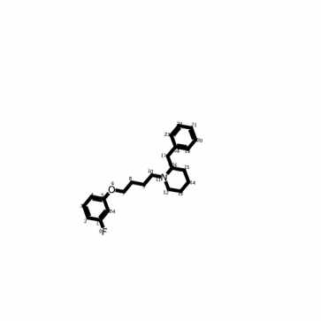 Fc1cccc(OCCCCN2CCCCC2Cc2ccccc2)c1